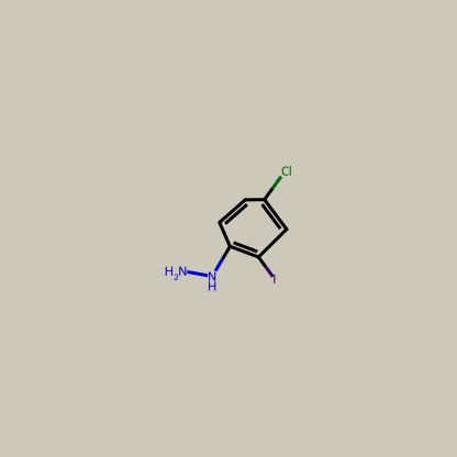 NNc1ccc(Cl)cc1I